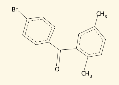 Cc1ccc(C)c(C(=O)c2ccc(Br)cc2)c1